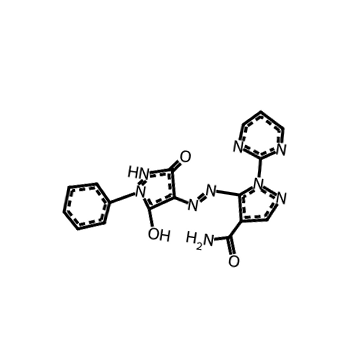 NC(=O)c1cnn(-c2ncccn2)c1N=Nc1c(O)n(-c2ccccc2)[nH]c1=O